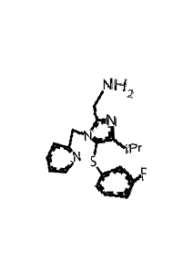 CC(C)c1nc(CN)n(Cc2ccccn2)c1Sc1cccc(F)c1